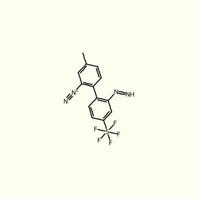 Cc1ccc(-c2ccc(S(F)(F)(F)(F)F)cc2N=N)c([N+]#N)c1